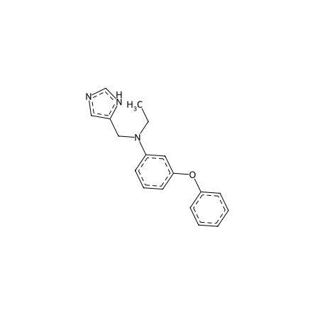 CCN(Cc1cnc[nH]1)c1cccc(Oc2ccccc2)c1